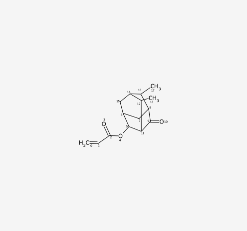 C=CC(=O)OC1C2CC3C(=O)C1C(C)C(C2)C3C